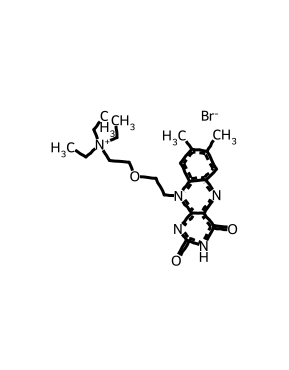 CC[N+](CC)(CC)CCOCCn1c2nc(=O)[nH]c(=O)c-2nc2cc(C)c(C)cc21.[Br-]